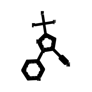 N#Cc1cc(C(F)(F)F)nn1-c1cccnc1